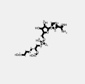 CCCCCCCCCCCCSC[C@H](COP(=O)(O)OCC1OC(n2cnc(C(=N)N)n2)C(O)C1O)OCCCCCCCCCC